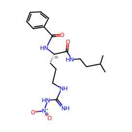 CC(C)CCNC(=O)[C@H](CCCNC(=N)N[N+](=O)[O-])NC(=O)c1ccccc1